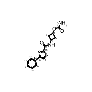 NC(=O)OC1CC(NC(=O)c2ncc(-c3ccccc3)s2)C1